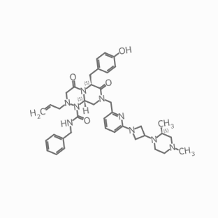 C=CCN1CC(=O)N2[C@@H](Cc3ccc(O)cc3)C(=O)N(Cc3cccc(N4CC(N5CCN(C)C[C@@H]5C)C4)n3)C[C@@H]2N1C(=O)NCc1ccccc1